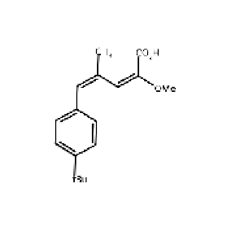 COC(=CC(C)=Cc1ccc(C(C)(C)C)cc1)C(=O)O